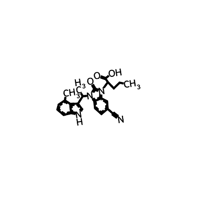 CCCC(C(=O)O)n1c(=O)n(C(C)c2c[nH]c3cccc(C)c23)c2ccc(C#N)cc21